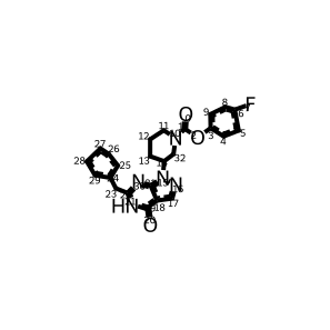 O=C(Oc1ccc(F)cc1)N1CCCC(n2ncc3c(=O)[nH]c(Cc4ccccc4)nc32)C1